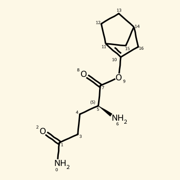 NC(=O)CC[C@H](N)C(=O)OC1=C2CCC(C2)C1